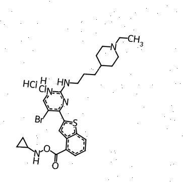 CCN1CCC(CCCNc2ncc(Br)c(-c3cc4c(C(=O)ONC5CC5)cccc4s3)n2)CC1.Cl.Cl